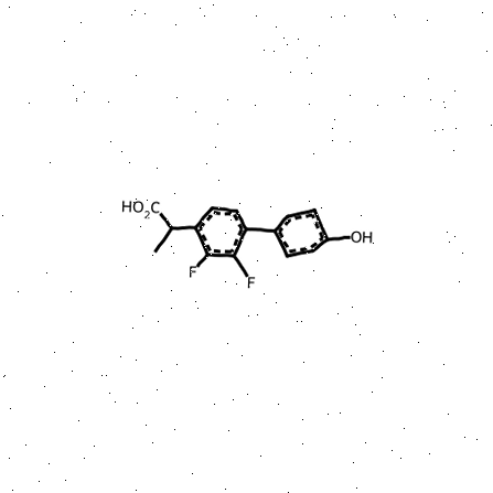 CC(C(=O)O)c1ccc(-c2ccc(O)cc2)c(F)c1F